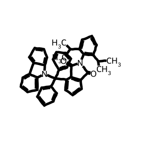 CC(C)c1cccc(C(C)C)c1N1C(=O)c2cccc(C(c3ccccc3)(c3ccccc3)n3c4ccccc4c4ccccc43)c2C1=O